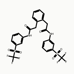 O=C(Cc1ccccc1CC(=O)Nc1cccc(S(=O)(=O)C(F)(F)F)c1)Nc1cccc(S(=O)(=O)C(F)(F)F)c1